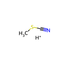 CSC#N.[H+]